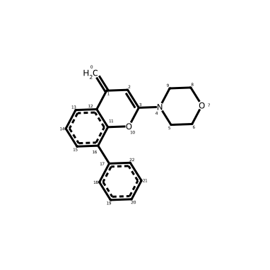 C=C1C=C(N2CCOCC2)Oc2c1cccc2-c1ccccc1